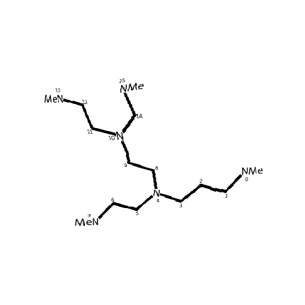 CNCCCN(CCNC)CCN(CCNC)CNC